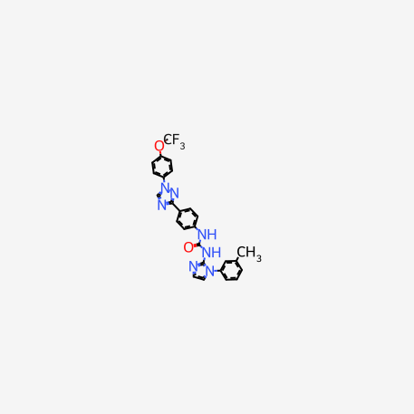 Cc1cccc(-n2ccnc2NC(=O)Nc2ccc(-c3ncn(-c4ccc(OC(F)(F)F)cc4)n3)cc2)c1